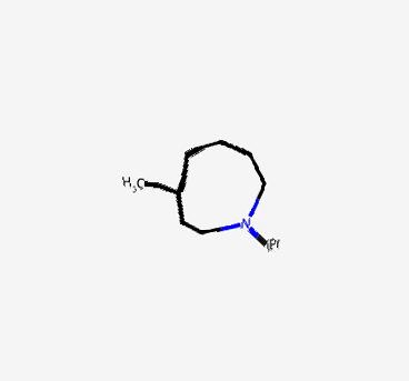 CC1CCCCN(C(C)C)CC1